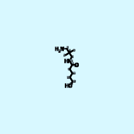 CC(C)(CN)CNC(=O)CCCCO